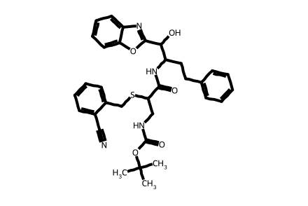 CC(C)(C)OC(=O)NCC(SCc1ccccc1C#N)C(=O)NC(CCc1ccccc1)C(O)c1nc2ccccc2o1